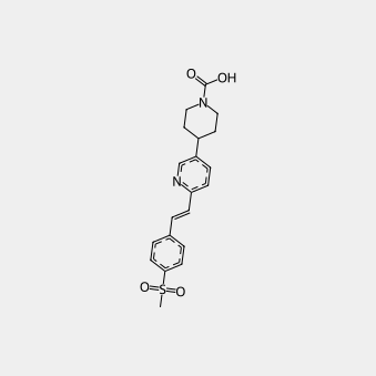 CS(=O)(=O)c1ccc(C=Cc2ccc(C3CCN(C(=O)O)CC3)cn2)cc1